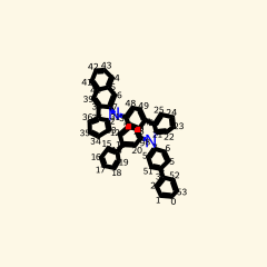 c1ccc(-c2ccc(N(c3cccc(-c4ccccc4)c3)c3ccccc3-c3ccc(-n4c5ccccc5c5cc6ccccc6cc54)cc3)cc2)cc1